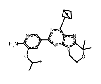 CC1(C)OCCn2c1nc1c(N3CC4CC3C4)nc(-c3cnc(N)c(OC(F)F)c3)nc12